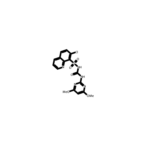 COc1cc(OC)nc(NC(=O)NS(=O)(=O)c2c(Cl)ccc3cccnc23)n1